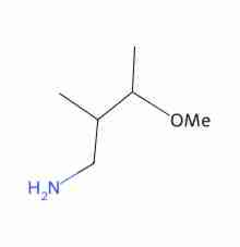 COC(C)C(C)CN